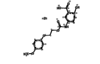 COc1ccc(OCCOC(=O)Nc2ccc(O)c(C(=O)O)c2)cc1.[Zn]